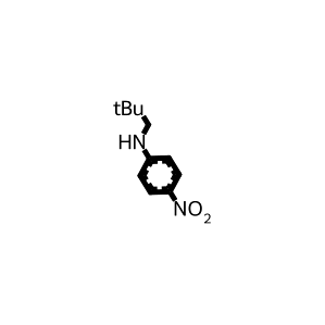 CC(C)(C)CNc1ccc([N+](=O)[O-])cc1